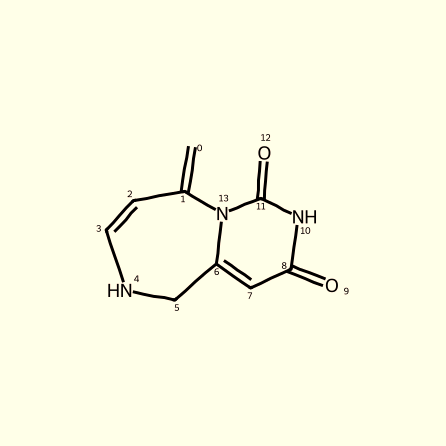 C=C1C=CNCc2cc(=O)[nH]c(=O)n21